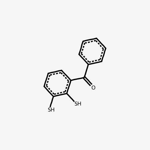 O=C(c1ccccc1)c1cccc(S)c1S